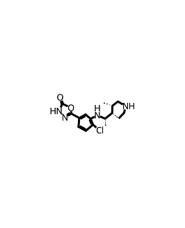 C[C@@H]1CNCC[C@@H]1[C@H](C)Nc1cc(-c2n[nH]c(=O)o2)ccc1Cl